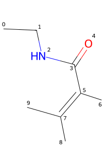 CCNC(=O)C(C)=C(C)C